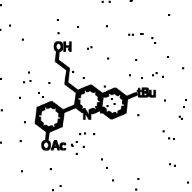 CC(=O)Oc1cccc(-c2nc3ccc(C(C)(C)C)cc3cc2CCCO)c1